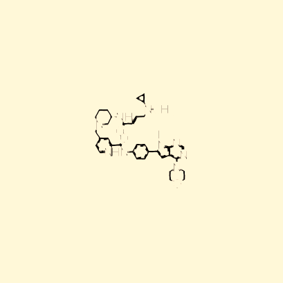 CN(C/C=C/C(=O)N[C@@H]1CCCN(Cc2ccnc(C(=O)Nc3ccc(-c4cc5c(N6CCOCC6)ncnc5[nH]4)cc3)c2)C1)C1CC1